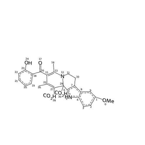 COc1ccc2[nH]c3c(c2c1)CCN1C(C)=C(C(=O)c2ccccc2O)C(C)=C(C(=O)O)C31C(=O)O